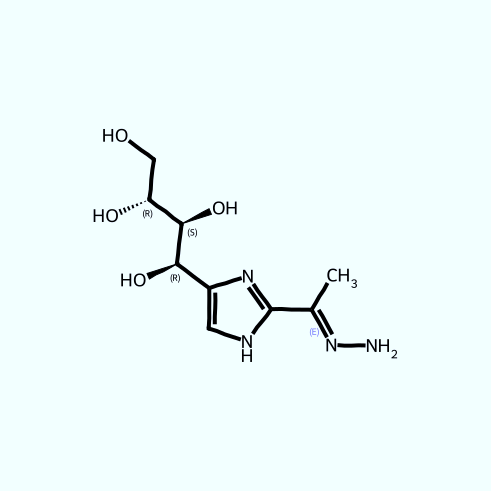 C/C(=N\N)c1nc([C@@H](O)[C@H](O)[C@H](O)CO)c[nH]1